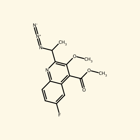 COC(=O)c1c(OC)c(C(C)N=[N+]=[N-])nc2ccc(F)cc12